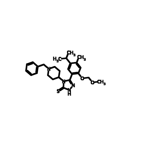 COCOc1cc(C)c(C(C)C)cc1-c1n[nH]c(=S)n1C1CCN(Cc2ccccc2)CC1